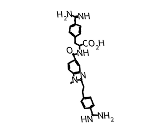 Cn1c(CCc2ccc(C(=N)N)cc2)nc2cc(C(=O)NC(Cc3ccc(C(=N)N)cc3)C(=O)O)ccc21